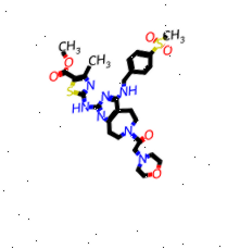 CCOC(=O)c1sc(Nc2nc3c(c(NCc4ccc(S(C)(=O)=O)cc4)n2)CCN(C(=O)CN2CCOCC2)CC3)nc1C